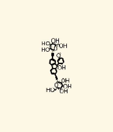 COc1cccc(C2(O)c3cc(C#C[C@H]4O[C@H](CO)[C@@H](O)[C@H](O)[C@@H]4O)ccc3-c3ccc(C#C[C@H]4O[C@H](CO)[C@@H](O)[C@H](O)[C@@H]4O)cc32)c1